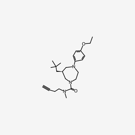 C#CCCN(C)C(=O)N1CCN(c2ccc(OCC)cc2)C[C@H](CC(C)(C)C)C1